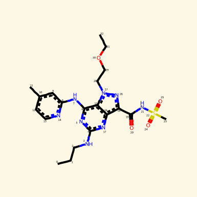 CCCNc1nc(Nc2cc(C)ccn2)c2c(n1)c(C(=O)NS(C)(=O)=O)nn2CCOCC